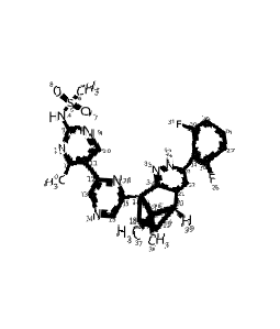 Cc1nc(NS(C)(=O)=O)ncc1-c1cncc([C@@]23CC[C@@H](c4cc(-c5c(F)cccc5F)nnc42)C3(C)C)n1